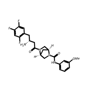 COc1cccc(NC(=O)N2C[C@@H]3C[C@H]2CN3C(=O)C[C@H](N)Cc2cc(F)c(F)cc2F)c1